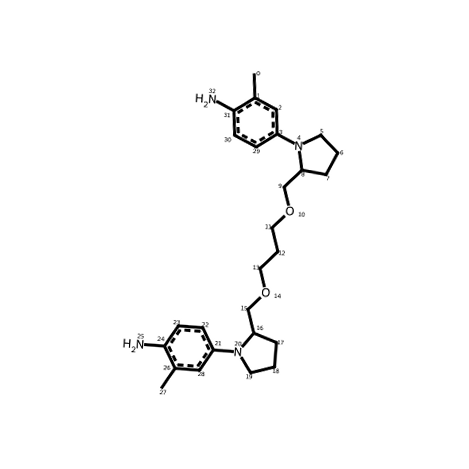 Cc1cc(N2CCCC2COCCCOCC2CCCN2c2ccc(N)c(C)c2)ccc1N